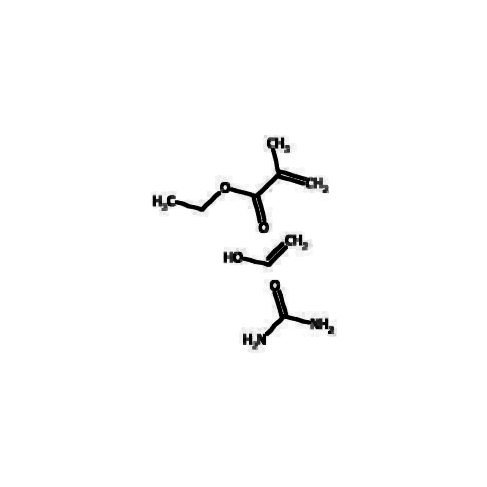 C=C(C)C(=O)OCC.C=CO.NC(N)=O